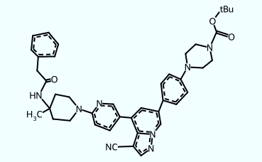 CC1(NC(=O)Cc2ccccc2)CCN(c2ccc(-c3cc(-c4ccc(N5CCN(C(=O)OC(C)(C)C)CC5)cc4)cn4ncc(C#N)c34)cn2)CC1